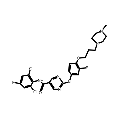 CN1CCN(CCCOc2ccc(Nc3ncc(C(=O)Nc4c(Cl)cc(F)cc4Cl)cn3)cc2F)CC1